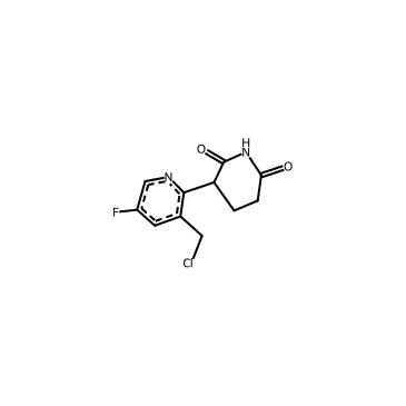 O=C1CCC(c2ncc(F)cc2CCl)C(=O)N1